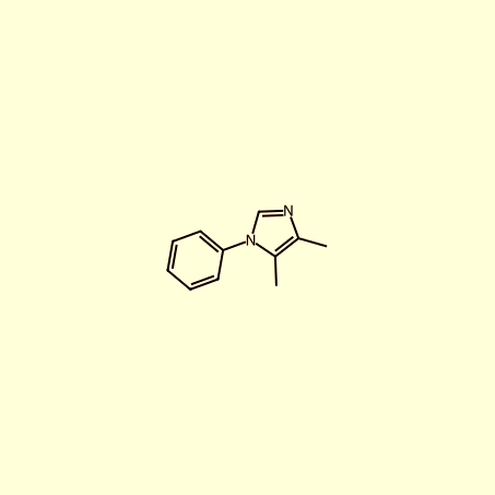 Cc1ncn(-c2ccccc2)c1C